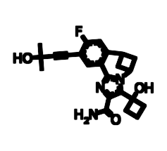 CC(C)(O)C#Cc1cc2c(cc1F)C1CC(C1)n1c-2nc(C(N)=O)c1C1(O)CCC1